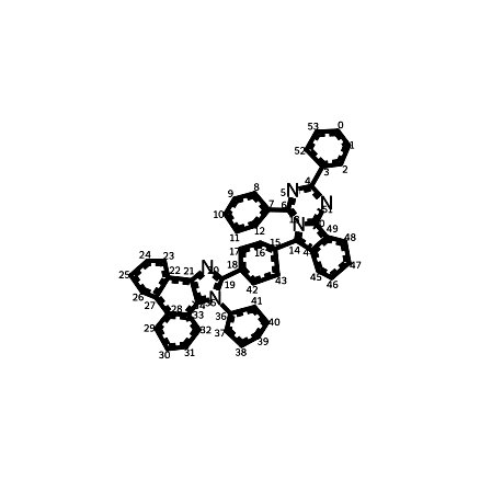 c1ccc(-c2nc(-c3ccccc3)n3c(-c4ccc(-c5nc6c7ccccc7c7ccccc7c6n5-c5ccccc5)cc4)c4ccccc4c3n2)cc1